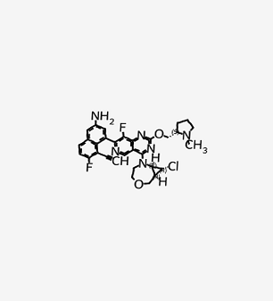 C#Cc1c(F)ccc2cc(N)cc(-c3ncc4c(N5CCOC[C@@H]6[C@@H](Cl)[C@@H]65)nc(OC[C@@H]5CCCN5C)nc4c3F)c12